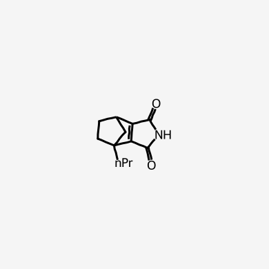 CCCC12CCC(C1)C1=C2C(=O)NC1=O